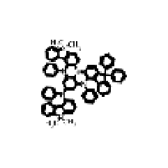 C[Si]1(C)c2ccccc2-c2c(N(c3ccccc3)c3cc4c5c(c3)N(c3ccccc3)c3c(ccc6c3-c3ccccc3[Si]6(C)C)B5c3ccc5c(c3N4c3ccccc3)-c3ccccc3C5(c3ccccc3)c3ccccc3)cccc21